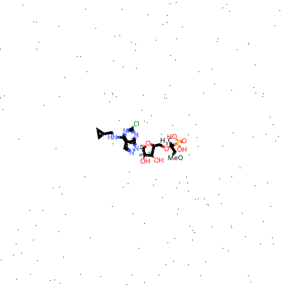 COCC(C)(OCC1O[C@@H](n2ncc3c(NCC4CC4)nc(Cl)nc32)[C@H](O)[C@@H]1O)P(=O)(O)O